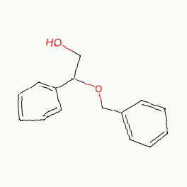 OC[C](OCc1ccccc1)c1ccccc1